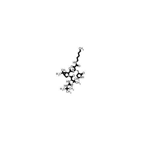 CCCCCCNC(=O)C(=O)[C@H](C[C@@H]1CCNC1=O)NC(=O)C1C2C(CN1C(=O)[C@@H](NC(=O)NC(C)(C)C)C(C)(C)C)C2(C)C